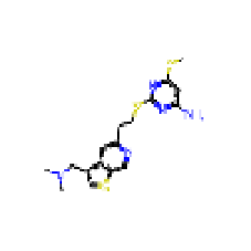 CSc1cc(N)nc(SCCc2cc3c(CN(C)C)csc3cn2)n1